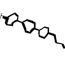 C=CCCC1CCC(c2ccc(-c3ccc(F)cc3)cc2)CC1